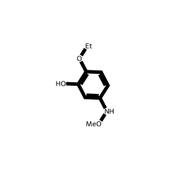 CCOc1ccc(NOC)cc1O